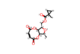 C[C@@H]1O[C@H](COC(=O)C2(C)CC2)C2OC(=O)/C=C\C(=O)OC21